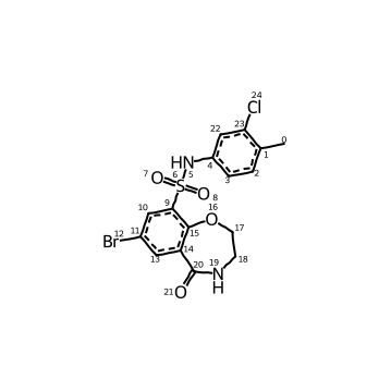 Cc1ccc(NS(=O)(=O)c2cc(Br)cc3c2OCCNC3=O)cc1Cl